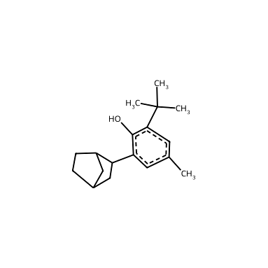 Cc1cc(C2CC3CCC2C3)c(O)c(C(C)(C)C)c1